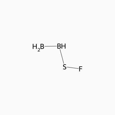 BBSF